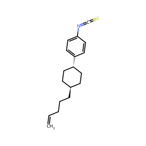 C=CCCC[C@H]1CC[C@H](c2ccc(N=C=S)cc2)CC1